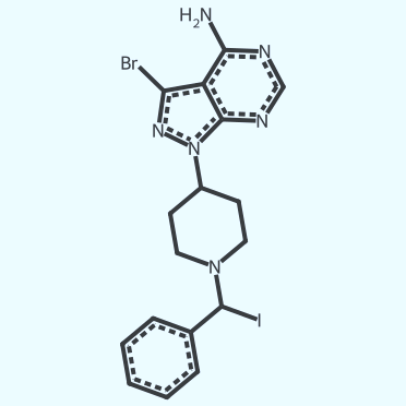 Nc1ncnc2c1c(Br)nn2C1CCN(C(I)c2ccccc2)CC1